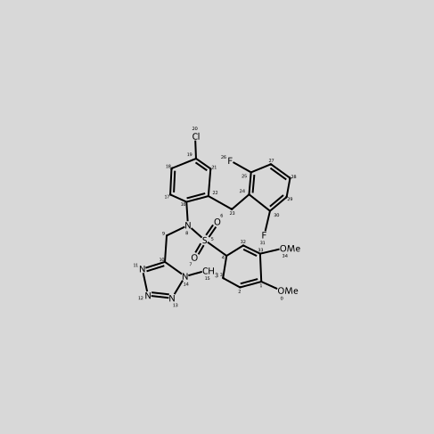 COC1=CCC(S(=O)(=O)N(Cc2nnnn2C)c2ccc(Cl)cc2Cc2c(F)cccc2F)C=C1OC